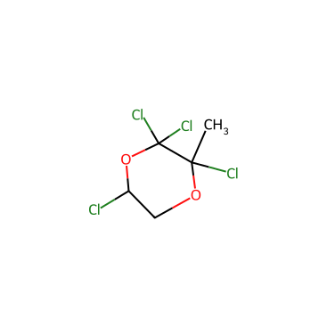 CC1(Cl)OCC(Cl)OC1(Cl)Cl